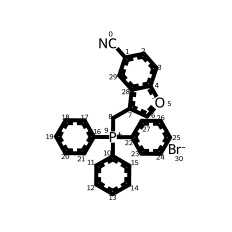 N#Cc1ccc2occ(C[P+](c3ccccc3)(c3ccccc3)c3ccccc3)c2c1.[Br-]